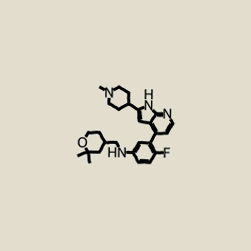 CN1CCC(c2cc3c(-c4cc(NCC5CCOC(C)(C)C5)ccc4F)ccnc3[nH]2)CC1